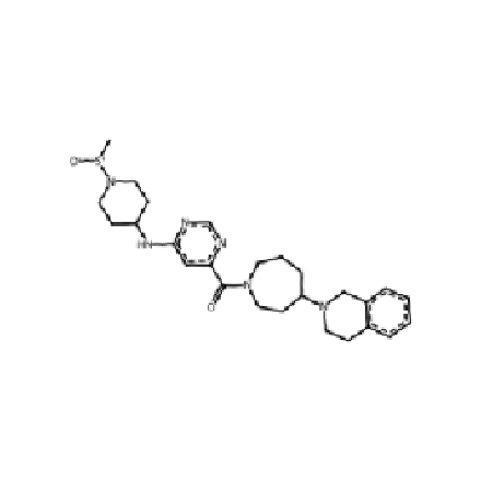 C[S+]([O-])N1CCC(Nc2cc(C(=O)N3CCCC(N4CCc5ccccc5C4)CC3)ncn2)CC1